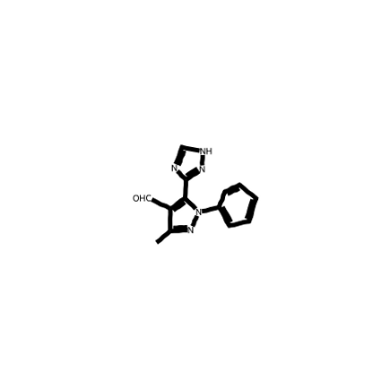 Cc1nn(-c2ccccc2)c(-c2nc[nH]n2)c1C=O